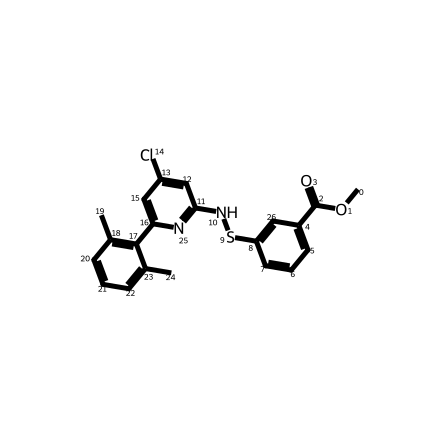 COC(=O)c1cccc(SNc2cc(Cl)cc(-c3c(C)cccc3C)n2)c1